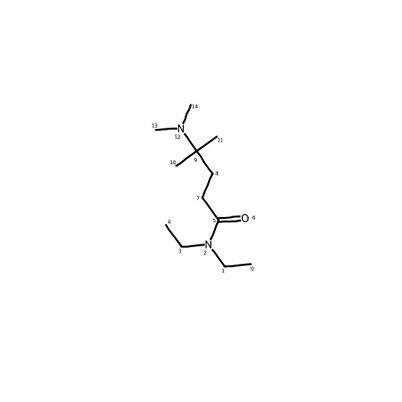 CCN(CC)C(=O)CCC(C)(C)N(C)C